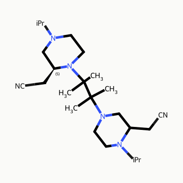 CC(C)N1CCN(C(C)(C)C(C)(C)N2CCN(C(C)C)C(CC#N)C2)[C@@H](CC#N)C1